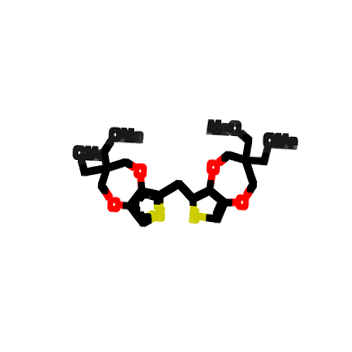 COCC1(COC)COc2csc(CC3SC=C4OCC(COC)(COC)COC43)c2OC1